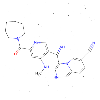 CNc1cc(C(=O)N2CCCCCC2)ncc1C(=N)C1=CNC=C2C=CC(C#N)=CN21